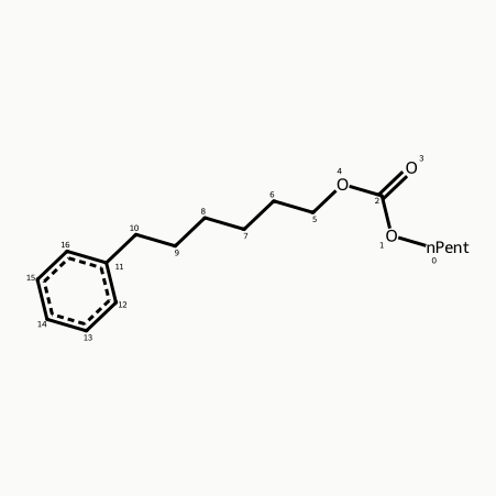 CCCCCOC(=O)OCCCCCCc1ccccc1